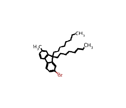 CCCCCCCCC1(CCCCCCCC)c2cc(C)ccc2-c2ccc(Br)cc21